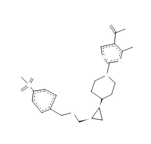 Cc1nc(N2CCC([C@H]3C[C@H]3COCc3ccc(S(C)(=O)=O)cc3)CC2)ncc1C(=O)O